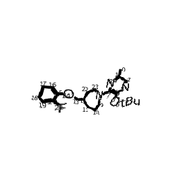 Cc1cnc(OC(C)(C)C)c(N2CCCC(COc3ccccc3F)CC2)n1